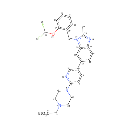 CCOC(=O)CN1CCN(c2ccc(-c3ccc4nc(C)n(Cc5ccccc5OC(F)F)c4c3)cn2)CC1